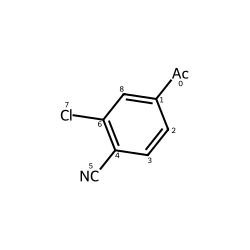 CC(=O)c1ccc(C#N)c(Cl)c1